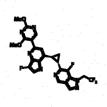 COc1ncc(-c2cc([C@H]3C[C@@H]3c3ncc4cnn(CC(F)(F)F)c4c3F)c3ncc(F)n3n2)c(OC)n1